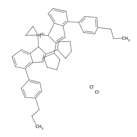 CCCc1ccc(-c2cccc3c2C=C(C2CCCC2)[CH]3[Hf+2]2([CH]3C(C4CCCC4)=Cc4c(-c5ccc(CCC)cc5)cccc43)[CH2][CH2]2)cc1.[Cl-].[Cl-]